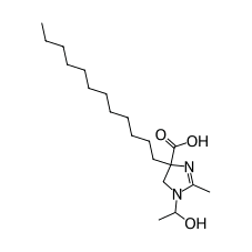 CCCCCCCCCCCCC1(C(=O)O)CN(C(C)O)C(C)=N1